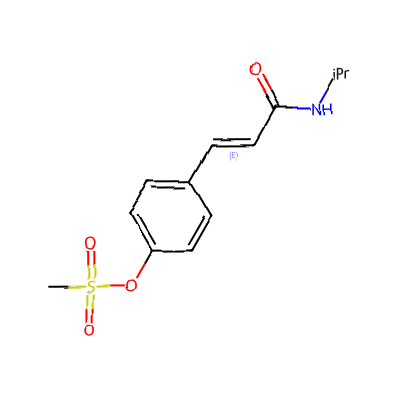 CC(C)NC(=O)/C=C/c1ccc(OS(C)(=O)=O)cc1